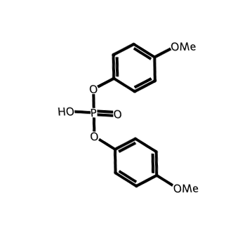 COc1ccc(OP(=O)(O)Oc2ccc(OC)cc2)cc1